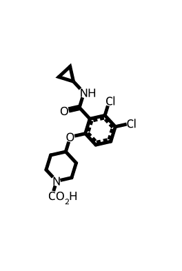 O=C(NC1CC1)c1c(OC2CCN(C(=O)O)CC2)ccc(Cl)c1Cl